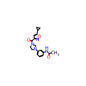 CC(=O)Nc1cccc(N2CCN(C(=O)c3cc(C4CC4)on3)C2)c1